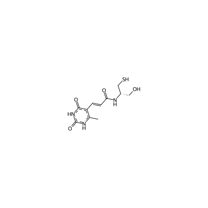 Cc1[nH]c(=O)[nH]c(=O)c1/C=C/C(=O)N[C@@H](CO)CS